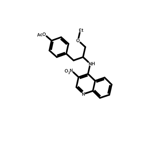 CCOCC(Cc1ccc(OC(C)=O)cc1)Nc1c([N+](=O)[O-])cnc2ccccc12